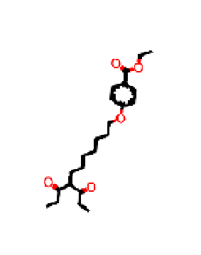 CCOC(=O)c1ccc(OCCCCCCCC(C(=O)CC)C(=O)CC)cc1